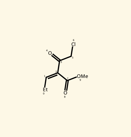 CC/C=C(/C(=O)CCl)C(=O)OC